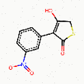 O=C1SCC(O)=C1c1cccc([N+](=O)[O-])c1